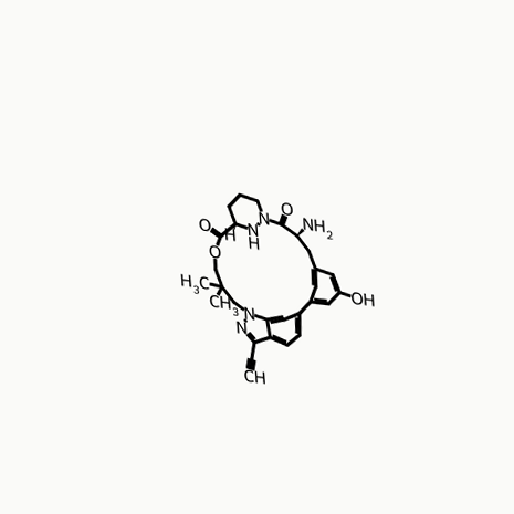 C#Cc1nn2c3cc(ccc13)-c1cc(O)cc(c1)C[C@H](N)C(=O)N1CCC[C@H](N1)C(=O)OCC(C)(C)C2